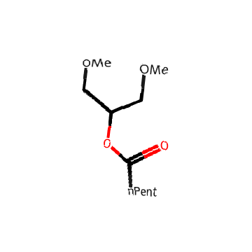 CCCCCC(=O)OC(COC)COC